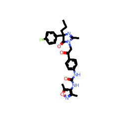 CCCC1(c2ccc(F)cc2)N=C(C)N(CC(=O)c2ccc(NC(=O)Nc3c(C)noc3C)cc2)C1=O